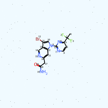 CC(F)(F)c1ccnc(-n2cc(Br)c3cnc(CC(N)=O)cc32)n1